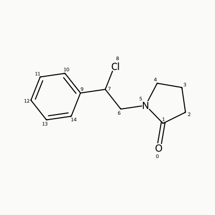 O=C1CCCN1CC(Cl)c1ccccc1